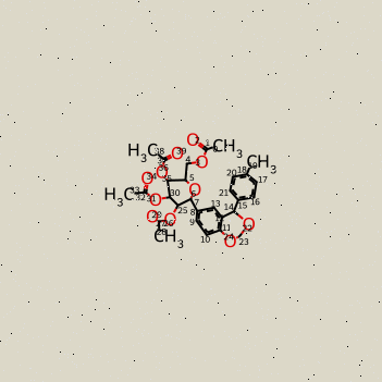 CC(=O)OCC1OC(c2ccc3c(c2)C(c2ccc(C)cc2)OCO3)C(OC(C)=O)C(OC(C)=O)C1OC(C)=O